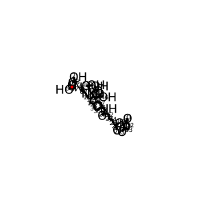 O=C(O)CN(CCN(CC(=O)O)C[C@H](Cc1ccc(NC(=O)CCCCC(=O)ON2C(=O)CCC2=O)cc1)N(CC(=O)O)CC(=O)O)CC(=O)O